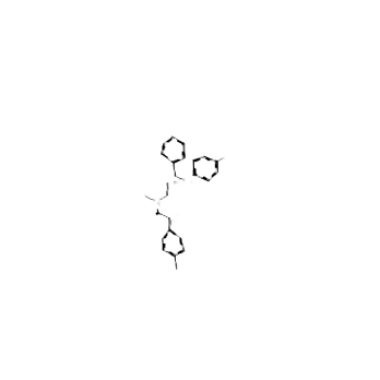 Cc1ccc([C@H](C)C(=O)N(C)CC[C@@H](Oc2ccc(C(F)(F)F)cc2)c2ccccc2)cc1